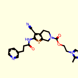 Cc1nccn1CCOC(=O)N1CCc2c(sc(NC(=O)CCc3cccnc3)c2C#N)C1